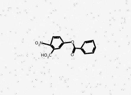 O=C(Oc1ccc([N+](=O)[O-])c(C(=O)O)c1)c1ccccc1